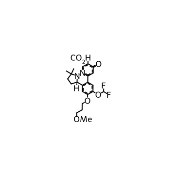 COCCCOc1cc2c(cc1OC(F)F)-c1cc(=O)c(C(=O)O)cn1N1[C@H]2CCC1(C)C